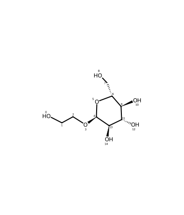 OCCO[C@H]1O[C@H](CO)[C@@H](O)[C@H](O)[C@H]1O